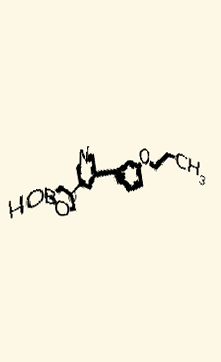 CCCOc1cccc(-c2cncc([C@H]3COB(O)C3)c2)c1